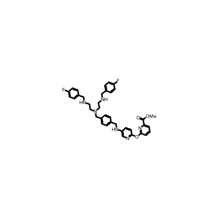 COC(=O)c1cccc(Oc2ccc(NCc3ccc(CN(CCNCc4ccc(F)cc4)CCNCc4ccc(F)cc4)cc3)cn2)n1